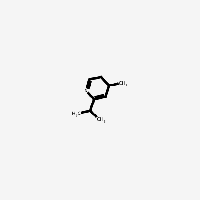 CC1C=C(C(C)C)N=CC1